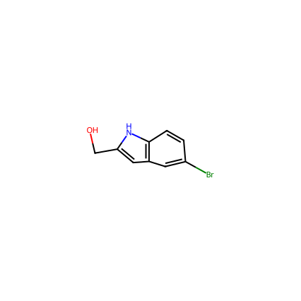 OCc1cc2cc(Br)ccc2[nH]1